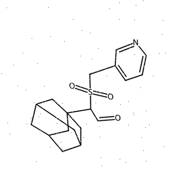 O=CC(C12CC3CC(CC(C3)C1)C2)S(=O)(=O)Cc1cccnc1